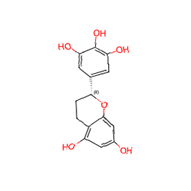 Oc1cc(O)c2c(c1)O[C@@H](c1cc(O)c(O)c(O)c1)CC2